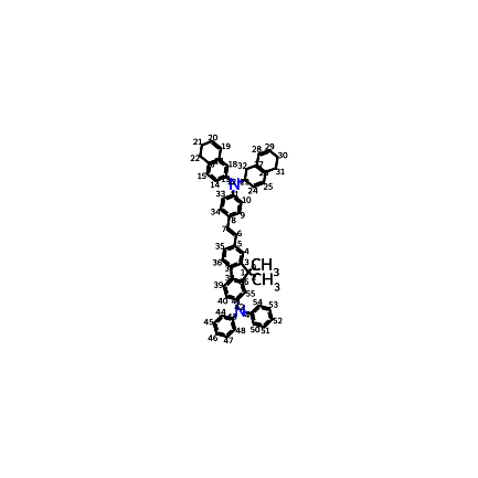 CC1(C)c2cc(/C=C/c3ccc(N(c4ccc5c(c4)C=CCC5)C4C=CC5=C(C=CCC5)C4)cc3)ccc2-c2ccc(N(c3ccccc3)c3ccccc3)cc21